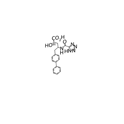 O=C(NC(Cc1ccc(-c2ccccc2)cc1)C[C@@H](O)C(=O)O)c1nnn[nH]1